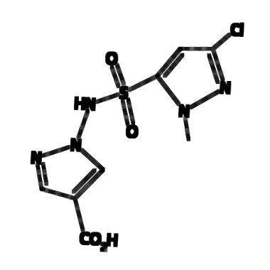 Cn1nc(Cl)cc1S(=O)(=O)Nn1cc(C(=O)O)cn1